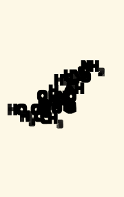 CC1(C)S[C@@H]2C(NC(=O)C(NC(=O)CNC(=N)CNC(=O)CN)c3ccccc3)C(=O)N2[C@H]1C(=O)O